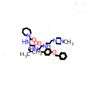 CC(C)C[C@H](NC(=O)N1CCCCCC1)C(=O)N[C@@H](Cc1ccc(OCc2ccccc2)cc1)C(=O)NCCCN1CCN(C)CC1